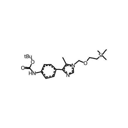 Cc1c(-c2ccc(NC(=O)OC(C)(C)C)cc2)ncn1COCC[Si](C)(C)C